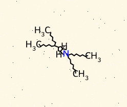 CCCCCCCC(CCCCCCC)N1C[C@H]2CC(C(CCCCCC)CCCCCC)C[C@H]2C1